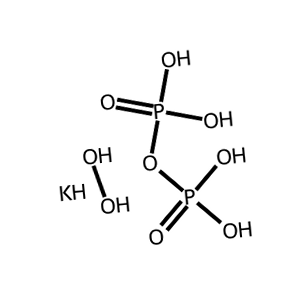 O=P(O)(O)OP(=O)(O)O.OO.[KH]